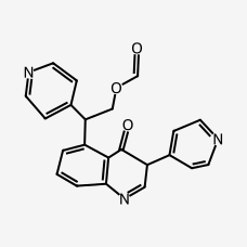 O=COCC(c1ccncc1)c1cccc2c1C(=O)C(c1ccncc1)C=N2